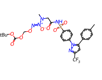 Cc1ccc(-c2cc(C(F)(F)F)nn2-c2ccc(S(=O)(=O)NC(=O)CN(C)[N+]([O-])=NOCOC(=O)OC(C)(C)C)cc2)cc1